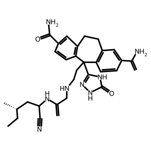 C=C(CNCCC1(c2n[nH]c(=O)[nH]2)c2ccc(C(=C)N)cc2CCc2cc(C(N)=O)ccc21)NC(C#N)C[C@@H](C)CC